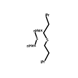 CC(C)CCSCCC(C)C.CCCCCCSCCCCCC